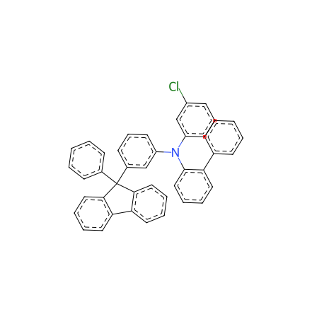 Clc1cccc(N(c2cccc(C3(c4ccccc4)c4ccccc4-c4ccccc43)c2)c2ccccc2-c2ccccc2)c1